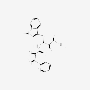 Cn1cc(CC(NC(=O)c2nsnc2-c2ccccn2)C(=O)C(N)=O)c2ccccc21